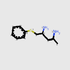 CC(N)CC(N)CSc1ccccc1